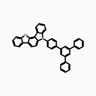 c1ccc(-c2cc(-c3ccccc3)cc(-c3ccc(-n4c5ccccc5c5c6oc7ccccc7c6ccc54)cc3)c2)cc1